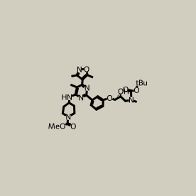 COC(=O)N1CCC(Nc2nc(-c3cccc(OC[C@@H](O)CN(C)C(=O)OC(C)(C)C)c3)nc(-c3c(C)noc3C)c2C)CC1